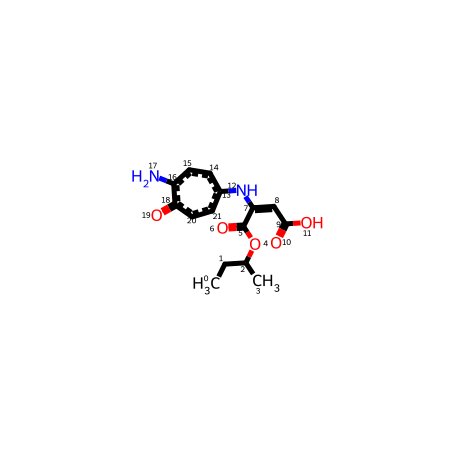 CCC(C)OC(=O)C(=CC(=O)O)Nc1ccc(N)c(=O)cc1